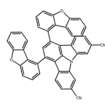 N#Cc1ccc2c3c(-c4cccc5oc6ccccc6c45)cc(-c4cccc5oc6ccccc6c45)c4c5ccc(C#N)cc5n(c2c1)c34